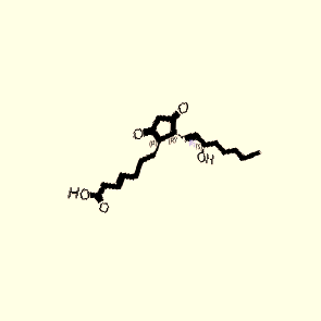 CCCCC[C@H](O)/C=C/[C@H]1C(=O)CC(=O)[C@@H]1CCCCCCC(=O)O